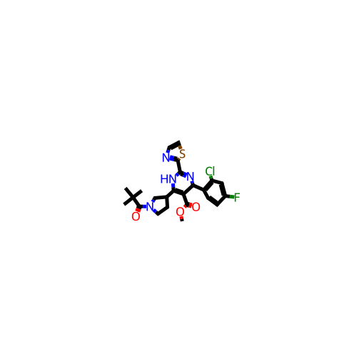 COC(=O)C1=C(C2CCN(C(=O)C(C)(C)C)C2)NC(c2nccs2)=NC1c1ccc(F)cc1Cl